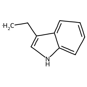 [CH2]Cc1c[nH]c2ccccc12